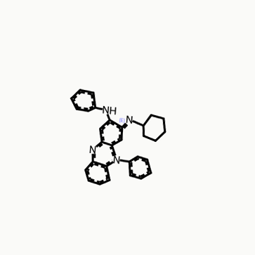 c1ccc(Nc2cc3nc4ccccc4n(-c4ccccc4)c-3c/c2=N\C2CCCCC2)cc1